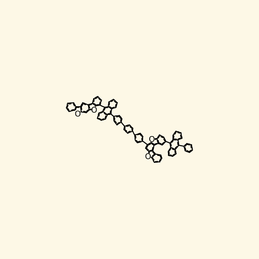 c1ccc(-c2c3ccccc3c(-c3ccc4oc5c(-c6ccc(-c7ccc(-c8ccc(-c9c%10ccccc%10c(-c%10cccc%11c%10oc%10cc%12oc%13ccccc%13c%12cc%10%11)c%10ccccc9%10)cc8)cc7)cc6)cc6oc7ccccc7c6c5c4c3)c3ccccc23)cc1